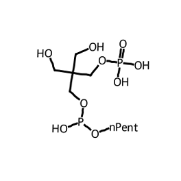 CCCCCOP(O)OCC(CO)(CO)COP(=O)(O)O